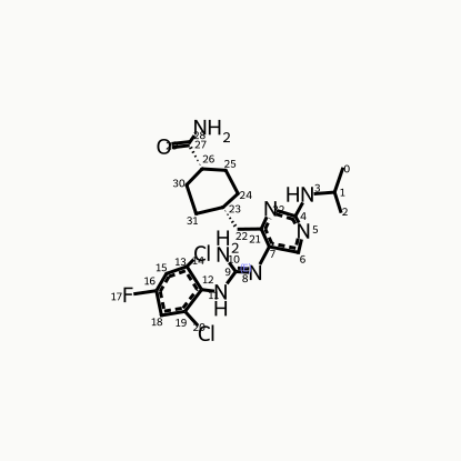 CC(C)Nc1ncc(/N=C(\N)Nc2c(Cl)cc(F)cc2Cl)c(C[C@H]2CC[C@@H](C(N)=O)CC2)n1